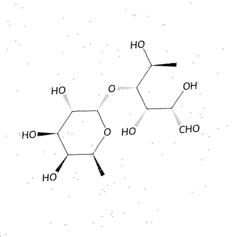 C[C@H](O)[C@@H](O[C@@H]1O[C@@H](C)[C@@H](O)[C@@H](O)[C@@H]1O)[C@@H](O)[C@H](O)C=O